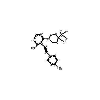 Cc1ncnc(N2CCC(O)(C(F)(F)F)CC2)c1C#Cc1ccc(N)nc1